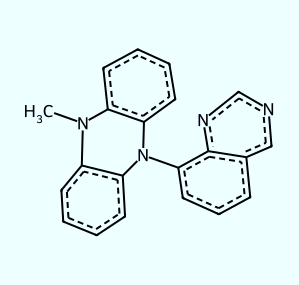 CN1c2ccccc2N(c2cccc3cncnc23)c2ccccc21